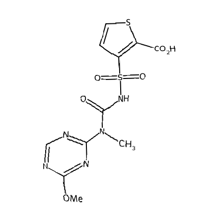 COc1ncnc(N(C)C(=O)NS(=O)(=O)c2ccsc2C(=O)O)n1